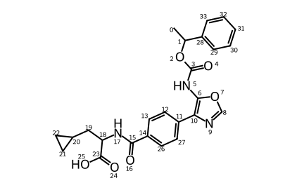 CC(OC(=O)Nc1ocnc1-c1ccc(C(=O)NC(CC2CC2)C(=O)O)cc1)c1ccccc1